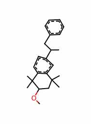 COC1CC(C)(C)c2cc(C(C)Cc3ccccc3)ccc2C1(C)C